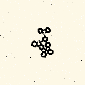 c1cc(-c2nc3ccccc3c3cc4c(cc23)C2(c3ccccc3-c3ccccc32)c2ccccc2-4)cc(-n2c3ccccc3c3ccccc32)c1